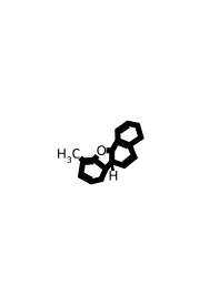 CC1=C2OC3C4=C(C=C[C@@H]3C2CC=C1)CCC=C4